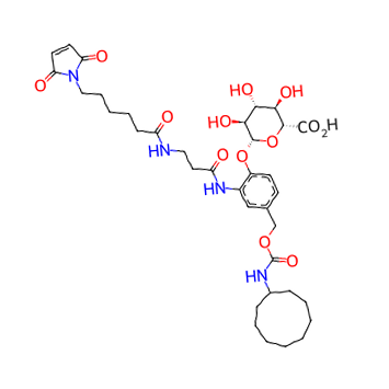 O=C(CCCCCN1C(=O)C=CC1=O)NCCC(=O)Nc1cc(COC(=O)NC2CCCCCCCC2)ccc1O[C@H]1O[C@@H](C(=O)O)[C@H](O)[C@@H](O)[C@@H]1O